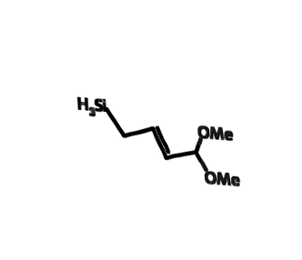 COC(C=CC[SiH3])OC